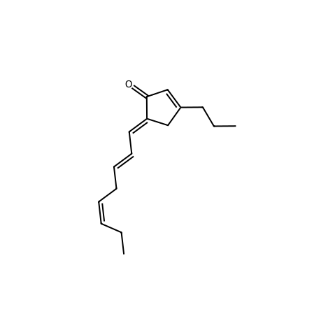 CC/C=C\C/C=C/C=C1\CC(CCC)=CC1=O